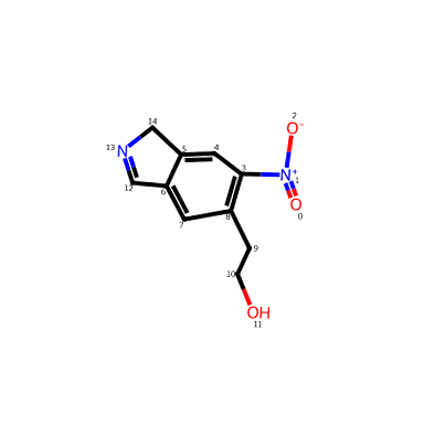 O=[N+]([O-])c1cc2c(cc1CCO)C=NC2